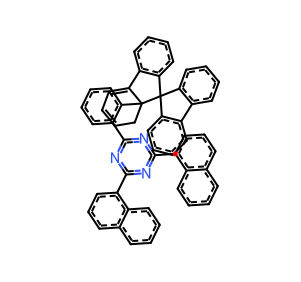 C1=CCC2(c3ccccc3-c3nc(-c4cccc5ccccc45)nc(-c4cccc5ccccc45)n3)C(=C1)c1ccccc1C21c2ccccc2-c2ccccc21